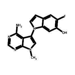 Cn1cc(-n2ccc3cc(F)c(O)cc32)c2c(N)ncnc21